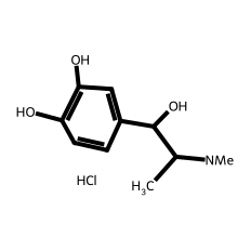 CNC(C)C(O)c1ccc(O)c(O)c1.Cl